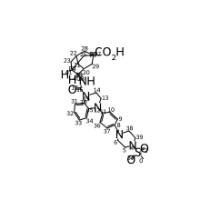 CS(=O)(=O)N1CCN(c2ccc(N3CCN(C(=O)N[C@@H]4C5CC6C[C@H]4C[C@@](C(=O)O)(C6)C5)c4ccccc43)cc2)CC1